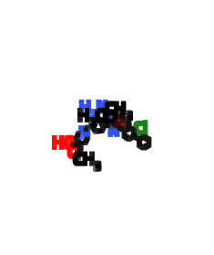 CC(C)(C)N.CCCC1(C(=O)O)CCN(Cc2ccc(-c3noc(-c4ccc(-c5ccccc5)c(Cl)c4)n3)cc2)CC1